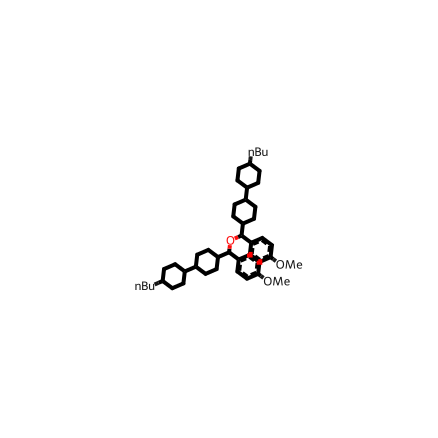 CCCCC1CCC(C2CCC(C(OC(c3ccc(OC)cc3)C3CCC(C4CCC(CCCC)CC4)CC3)c3ccc(OC)cc3)CC2)CC1